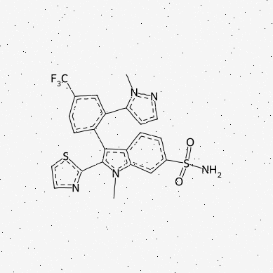 Cn1nccc1-c1cc(C(F)(F)F)ccc1-c1c(-c2nccs2)n(C)c2cc(S(N)(=O)=O)ccc12